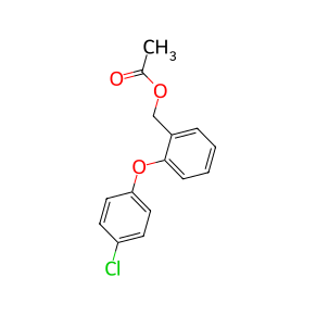 CC(=O)OCc1ccccc1Oc1ccc(Cl)cc1